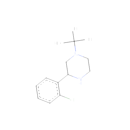 CC(C)(C)N1CCNC(c2ccccc2Cl)C1